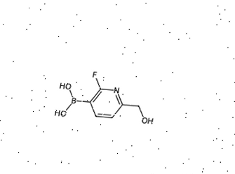 OCc1ccc(B(O)O)c(F)n1